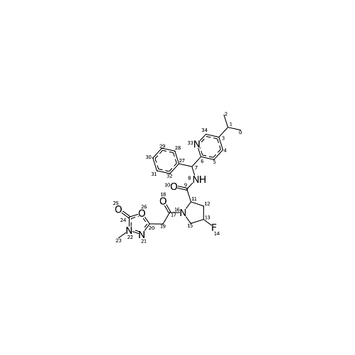 CC(C)c1ccc(C(NC(=O)C2CC(F)CN2C(=O)Cc2nn(C)c(=O)o2)c2ccccc2)nc1